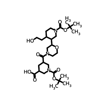 CC(C)(C)OC(=O)N1CC(C(=O)O)CC(C(=O)N2CCOC(C3CN(C(=O)OC(C)(C)C)CCC3CCO)C2)C1